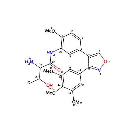 COc1ccc(-c2conc2-c2cc(OC)c(OC)c(OC)c2)cc1NC(=O)C(N)C(C)O